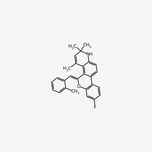 CC1=CC(C)(C)Nc2ccc3c(c21)C(=Cc1ccccc1C)Oc1cc(F)ccc1-3